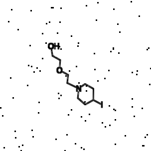 OCCOCCN1CCC(I)CC1